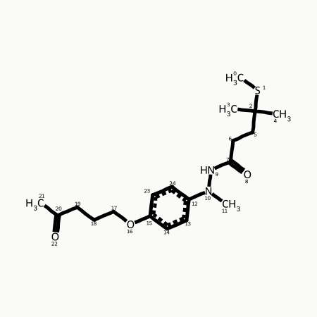 CSC(C)(C)CCC(=O)NN(C)c1ccc(OCCCC(C)=O)cc1